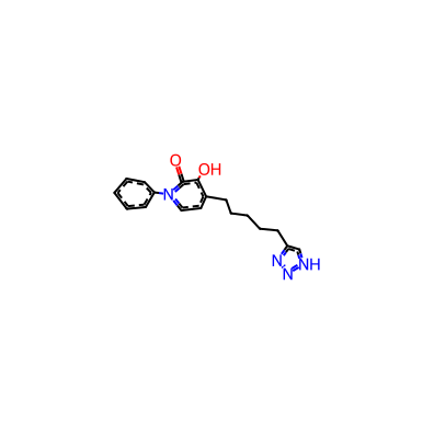 O=c1c(O)c(CCCCCc2c[nH]nn2)ccn1-c1ccccc1